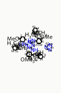 COC1=CC=CC(Nc2nc(NC3C=CC=C(OC)C3=C=C3CC4CCC3(C)C4(C)C)nc(NC3C=CC=C(OC)C3=C=C3CC4CCC3(C)C4(C)C)n2)C1=C=C1CC2CCC1(C)C2(C)C.c1ncncn1